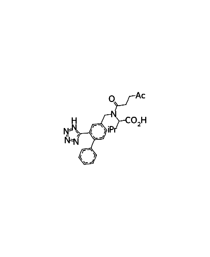 CC(=O)CCC(=O)N(Cc1ccc(-c2ccccc2)c(-c2nnn[nH]2)c1)C(C(=O)O)C(C)C